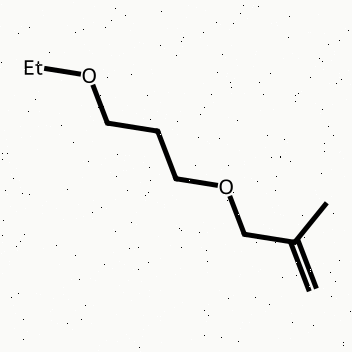 [CH2]COCCCOCC(=C)C